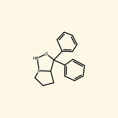 B1OC(c2ccccc2)(c2ccccc2)C2CCCN12